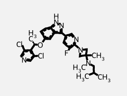 CC(C)CN(C)C1(C)CN(c2ncc(-c3n[nH]c4ccc(O[C@H](C)c5c(Cl)cncc5Cl)cc34)cc2F)C1